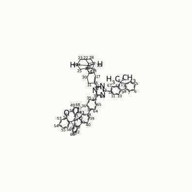 CC1(C)c2ccccc2-c2ccc(-c3nc(C4=CC=C(C56CC7C[C@H](C5)C[C@@H](C7)C6)CC4)nc(-c4ccc(-c5ccc6c(c5)C5(c7ccccc7Oc7ccccc75)c5ccccc5-6)cc4)n3)cc21